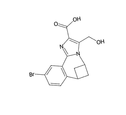 O=C(O)c1nc2n(c1CO)C1CC(C1)c1ccc(Br)cc1-2